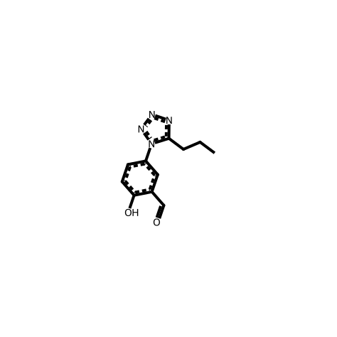 CCCc1nnnn1-c1ccc(O)c(C=O)c1